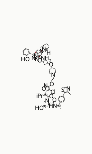 Cc1ncsc1-c1ccc([C@H](C)NC(=O)[C@@H]2C[C@@H](O)CN2C(=O)[C@H](c2onc(OCCN3CCC(OC4CC(Oc5cc(N6C7CC[C@@H]6CN(c6cc(-c8ccccc8O)nnc6N)C7)ccn5)C4)CC3)c2Cl)C(C)C)cc1